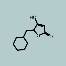 O=C1C=C(O)C(CC2CCCCC2)O1